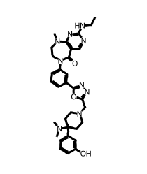 CCNc1ncc2c(n1)N(C)CCN(c1cccc(-c3nnc(CN4CCC(c5cccc(O)c5)(N(C)C)CC4)o3)c1)C2=O